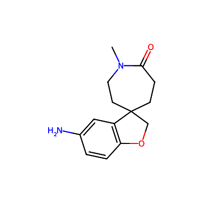 CN1CCC2(CCC1=O)COc1ccc(N)cc12